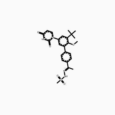 COc1c(-c2ccc(/C(C)=N/NS(C)(=O)=O)cc2)cc(-n2ccc(=O)[nH]c2=O)cc1C(C)(C)C